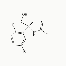 C[C@@](CO)(NC(=O)CCl)c1cc(Br)ccc1F